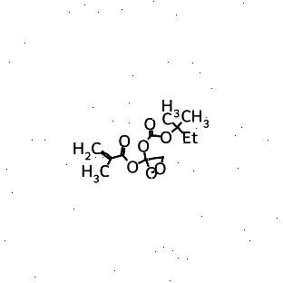 C=C(C)C(=O)OC1(OC(=O)OC(C)(C)CC)COO1